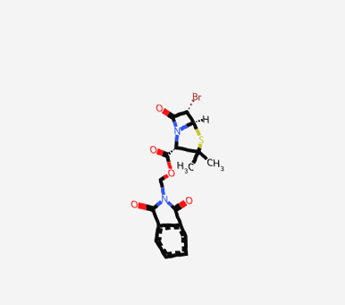 CC1(C)S[C@@H]2[C@@H](Br)C(=O)N2[C@H]1C(=O)OCN1C(=O)c2ccccc2C1=O